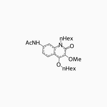 CCCCCCOc1c(OC)c(=O)n(CCCCCC)c2cc(NC(C)=O)ccc12